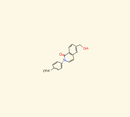 O=Cc1ccc(-n2ccc3cc(CO)ccc3c2=O)cc1